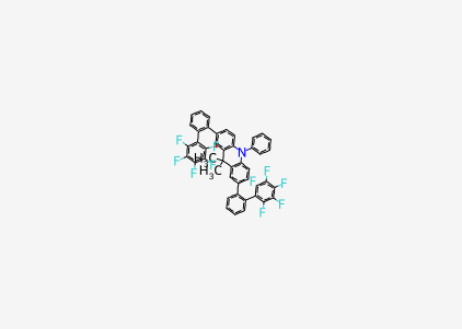 CC1(C)c2cc(-c3ccccc3-c3c(F)c(F)c(F)c(F)c3F)ccc2N(c2ccccc2)c2ccc(-c3ccccc3-c3c(F)c(F)c(F)c(F)c3F)cc21